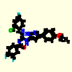 COc1ccc(-c2cc(N/C(=N\C(=O)c3ccc(F)c(F)c3)NCc3ccc(F)cc3Cl)[nH]n2)cc1